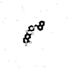 O=c1[nH]ccc2cc(OC3CCN(Cc4cccc5ccccc45)CC3)c(Cl)cc12